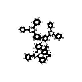 FC(F)(F)c1ccc(-c2cc(-n3c4ccc(-c5nc(-c6ccccc6)nc(-c6ccccc6)n5)cc4c4cc(-c5nc(-c6ccccc6)nc(-c6ccccc6)n5)ccc43)ccc2-c2nc(-c3ccccc3)nc(-c3ccccc3)n2)c(C(F)(F)F)c1